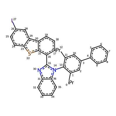 CC(C)c1cc(-c2ccccc2)cc(C(C)C)c1-n1c(-c2cccc3c2sc2ccc(I)cc23)nc2ccccc21